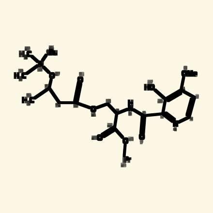 COc1ccnc(C(=O)NC(COC(=O)CC(C)O[Si](C)(C)C(C)(C)C)C(=O)OC(C)C)c1O